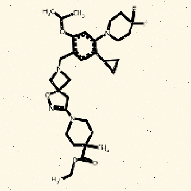 CCOC(=O)C1(C)CCN(C2=NOC3(C2)CN(Cc2cc(C4CC4)c(N4CCC(F)(F)CC4)cc2OC(C)C)C3)CC1